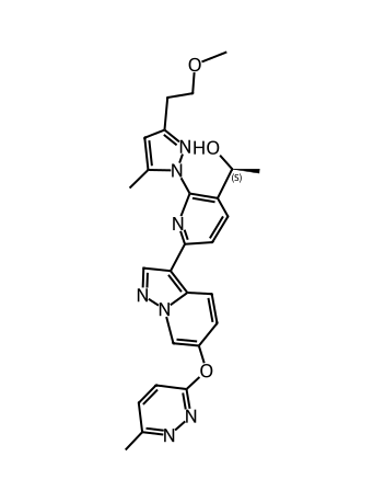 COCCc1cc(C)n(-c2nc(-c3cnn4cc(Oc5ccc(C)nn5)ccc34)ccc2[C@H](C)O)n1